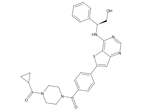 O=C(c1ccc(-c2cc3ncnc(N[C@H](CO)c4ccccc4)c3s2)cc1)N1CCN(C(=O)C2CC2)CC1